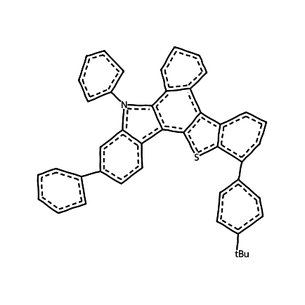 CC(C)(C)c1ccc(-c2cccc3c2sc2c3c3ccccc3c3c2c2ccc(-c4ccccc4)cc2n3-c2ccccc2)cc1